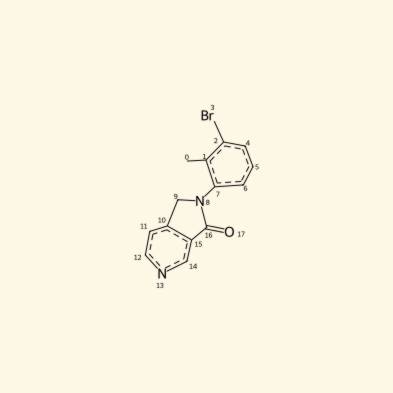 Cc1c(Br)cccc1N1Cc2ccncc2C1=O